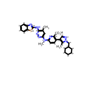 Cc1cc(N(C)c2ccc(-c3cnn(CC4CCCCC4)c3C)c(C(=O)O)n2)nnc1Nc1nc2ccccc2s1